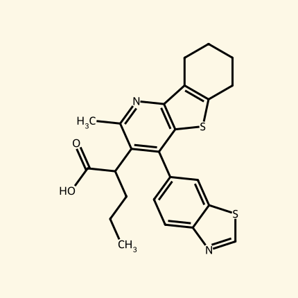 CCCC(C(=O)O)c1c(C)nc2c3c(sc2c1-c1ccc2ncsc2c1)CCCC3